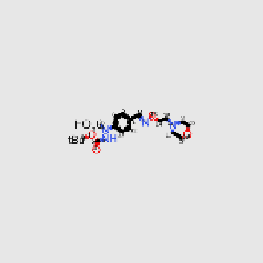 CC(C)(C)OC(=O)NN(C(=O)O)c1ccc(C=NOCCN2CCOCC2)cc1